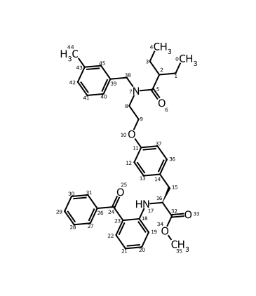 CCC(CC)C(=O)N(CCOc1ccc(C[C@H](Nc2ccccc2C(=O)c2ccccc2)C(=O)OC)cc1)Cc1cccc(C)c1